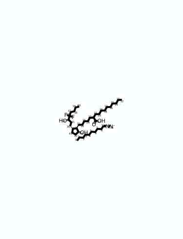 CCCCCCCCCC=[N+]=[N-].CCCCCCCCCCC(CCCCC[C@@H]1[C@@H](CC[C@@H](O)C(F)(F)CCCC)CC[C@@H]1O)C(=O)O